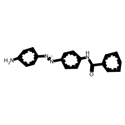 Nc1ccc(/N=N/c2ccc(NC(=O)c3ccccc3)cc2)cc1